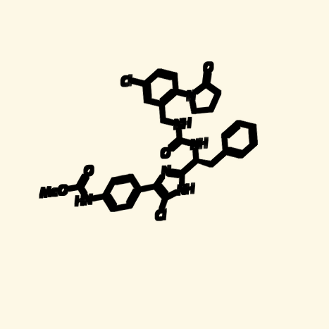 COC(=O)Nc1ccc(-c2nc([C@H](Cc3ccccc3)NC(=O)NCc3cc(Cl)ccc3N3CCCC3=O)[nH]c2Cl)cc1